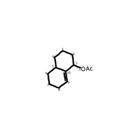 CC(=O)OC1CCCC2CCCC=C21